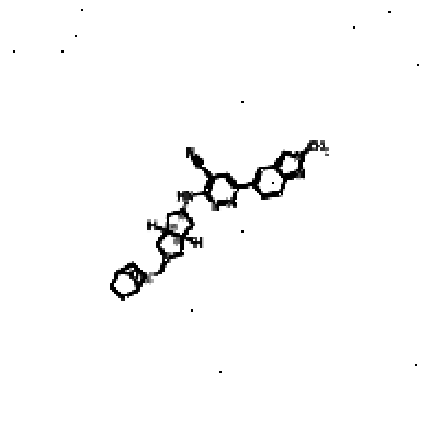 Cn1cc2cc(-c3cc(C#N)c(N[C@@H]4C[C@@H]5CN(C[C@H]6CC7CCC6O7)C[C@@H]5C4)nn3)ccc2n1